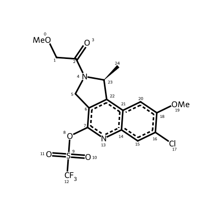 COCC(=O)N1Cc2c(OS(=O)(=O)C(F)(F)F)nc3cc(Cl)c(OC)cc3c2[C@@H]1C